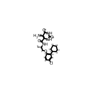 C[C@H](COc1ccc(Cl)cc1C1CCCCC1)NC(=O)c1[nH]c(=O)[nH]c(=O)c1N